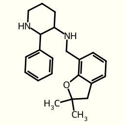 CC1(C)Cc2cccc(CNC3CCCNC3c3ccccc3)c2O1